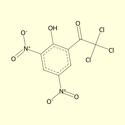 O=C(c1cc([N+](=O)[O-])cc([N+](=O)[O-])c1O)C(Cl)(Cl)Cl